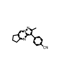 Cc1nn2cc3c(nc2c1-c1ccc(C#N)cc1)CCC3